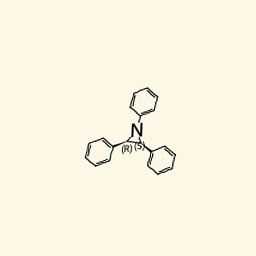 c1ccc([C@@H]2[C@H](c3ccccc3)N2c2ccccc2)cc1